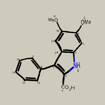 COc1cc2[nH]c(C(=O)O)c(-c3ccccc3)c2cc1OC